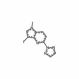 Cn1cc(I)c2nc(-n3nccn3)ccc21